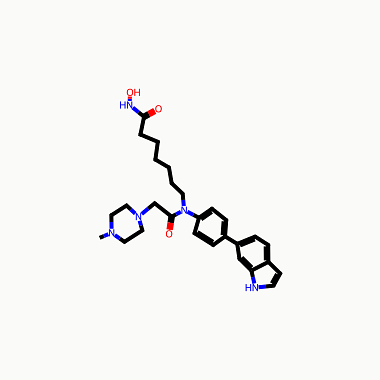 CN1CCN(CC(=O)N(CCCCCCC(=O)NO)c2ccc(-c3ccc4cc[nH]c4c3)cc2)CC1